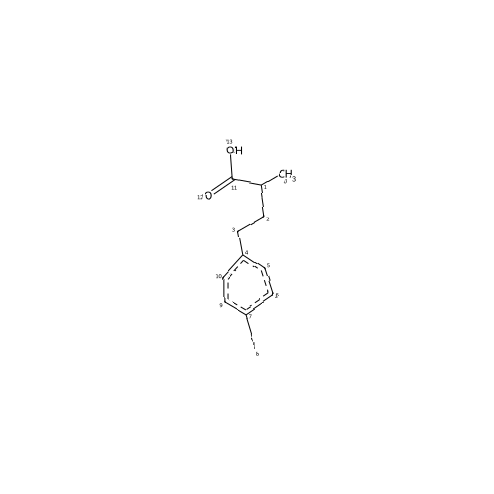 CC(CCc1ccc(I)cc1)C(=O)O